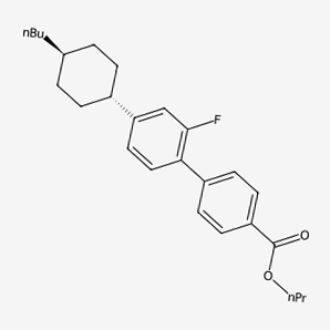 CCCC[C@H]1CC[C@H](c2ccc(-c3ccc(C(=O)OCCC)cc3)c(F)c2)CC1